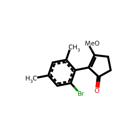 COC1=C(c2c(C)cc(C)cc2Br)C(=O)CC1